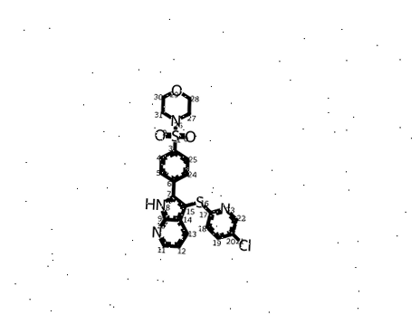 O=S(=O)(c1ccc(-c2[nH]c3ncccc3c2Sc2ccc(Cl)cn2)cc1)N1CCOCC1